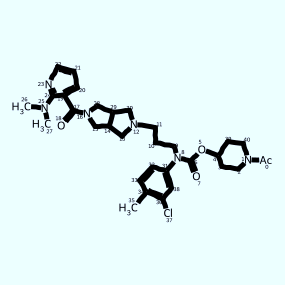 CC(=O)N1CCC(OC(=O)N(CCCN2CC3CN(C(=O)c4cccnc4N(C)C)CC3C2)c2ccc(C)c(Cl)c2)CC1